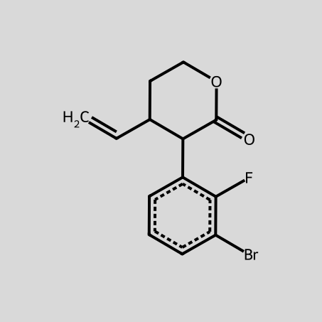 C=CC1CCOC(=O)C1c1cccc(Br)c1F